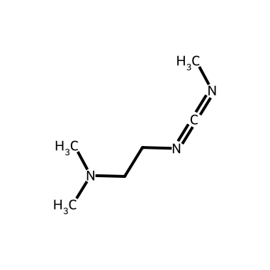 CN=C=NCCN(C)C